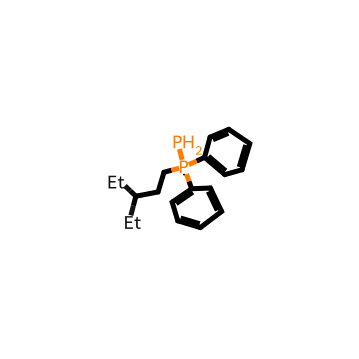 CCC(CC)CC[P](P)(c1ccccc1)c1ccccc1